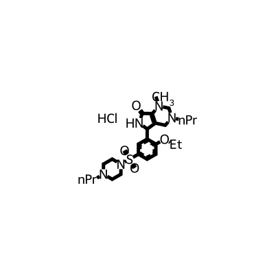 CCCN1CCN(S(=O)(=O)c2ccc(OCC)c(C3NC(=O)C4=C3CN(CCC)CN4C)c2)CC1.Cl